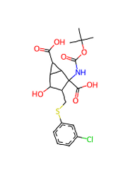 CC(C)(C)OC(=O)NC1(C(=O)O)C(CSc2cccc(Cl)c2)C(O)C2C(C(=O)O)C21